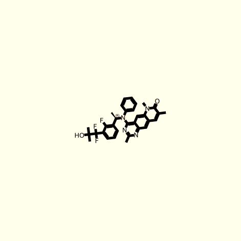 Cc1nc(N(c2ccccc2)[C@H](C)c2cccc(C(F)(F)C(C)(C)O)c2F)c2cc3c(cc(C)c(=O)n3C)cc2n1